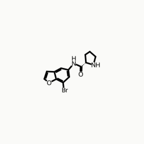 O=C(Nc1cc(Br)c2occc2c1)[C@@H]1CCCN1